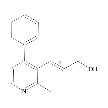 Cc1nccc(-c2ccccc2)c1/C=C/CO